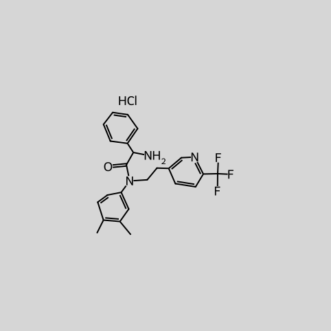 Cc1ccc(N(CCc2ccc(C(F)(F)F)nc2)C(=O)C(N)c2ccccc2)cc1C.Cl